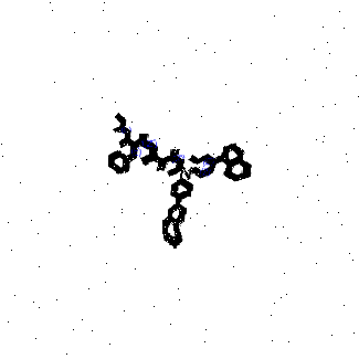 C=C/C(C)=C/C(=C)C(=C\c1ccccc1)/C(C)=C\C(=C)C(=C)/C(C)=C\C(=C)N(C/C=C\C(=C/CC)c1cccc2c1CCC=C2)c1ccc(-c2ccc3ccccc3c2)cc1